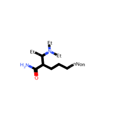 CCCCCCCCCCCCC(C(N)=O)C(CC)N(CC)CC